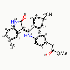 COC(=O)Cc1ccc(NC(=C2C(=O)Nc3ccc(C(C)=O)cc32)c2ccc(C#N)cc2)cc1